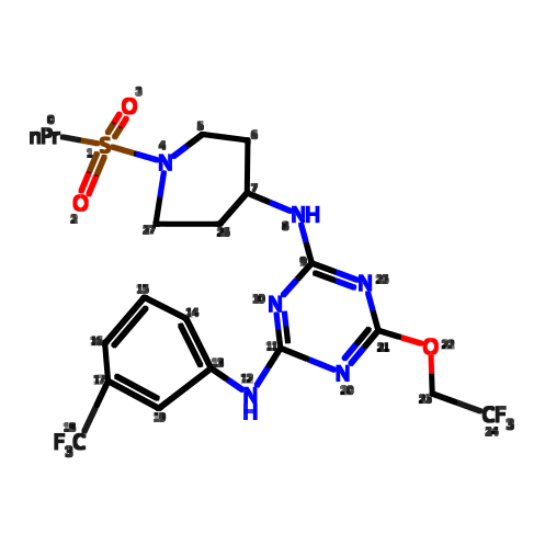 CCCS(=O)(=O)N1CCC(Nc2nc(Nc3cccc(C(F)(F)F)c3)nc(OCC(F)(F)F)n2)CC1